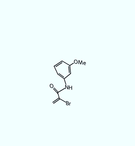 C=C(Br)C(=O)Nc1cccc(OC)c1